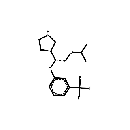 CC(C)OC[C@H](Oc1cccc(C(F)(F)F)c1)[C@H]1CCNC1